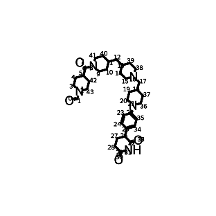 O=CN1CCC(C(=O)N2CCC(CC3CCN(CC4CCN(c5ccc(C6CCC(=O)NC6=O)cc5)CC4)CC3)CC2)CC1